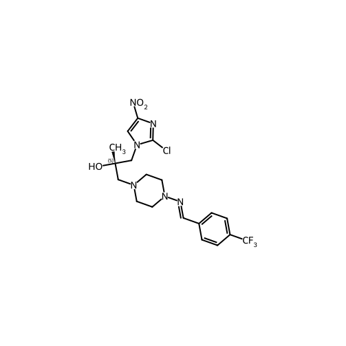 C[C@](O)(CN1CCN(N=Cc2ccc(C(F)(F)F)cc2)CC1)Cn1cc([N+](=O)[O-])nc1Cl